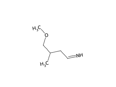 COCC(C)CC=N